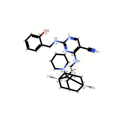 N#Cc1cnc(NCc2ccccc2O)nc1NC[C@@]12CC3C[C@H](C1)[C@@H](N1CCCCC1)[C@@H](C3)C2